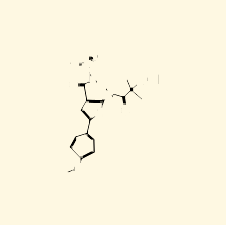 COc1ccc(-c2cc(C(=O)N=S(=O)=O)c(NC(=O)C(C)(C)O)s2)cc1